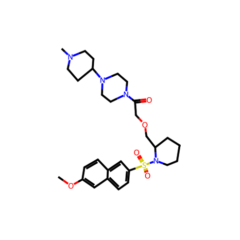 COc1ccc2cc(S(=O)(=O)N3CCCCC3COCC(=O)N3CCN(C4CCN(C)CC4)CC3)ccc2c1